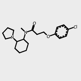 CN(C(=O)CCOc1ccc(Cl)cc1)C1CCCCC1N1CCCC1